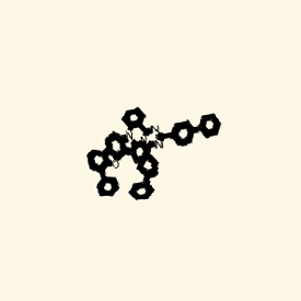 c1ccc(-c2ccc(-c3nc(-c4ccc(-c5ccccc5)cc4)nc(-c4ccccc4-n4c5ccccc5c5c6oc7c(-c8ccccc8)cccc7c6ccc54)n3)cc2)cc1